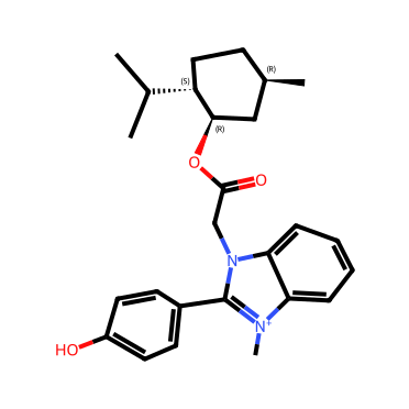 CC(C)[C@@H]1CC[C@@H](C)C[C@H]1OC(=O)Cn1c(-c2ccc(O)cc2)[n+](C)c2ccccc21